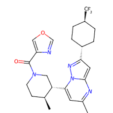 Cc1cc([C@H]2CN(C(=O)c3cocn3)CC[C@@H]2C)n2nc([C@H]3CC[C@H](C(F)(F)F)CC3)cc2n1